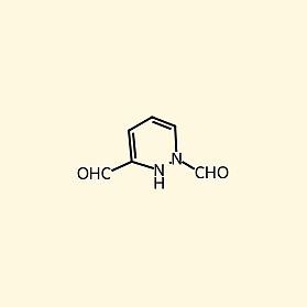 O=CC1=CC=CN(C=O)N1